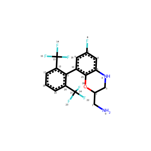 NCC1CNc2cc(F)cc(-c3c(C(F)(F)F)cccc3C(F)(F)F)c2O1